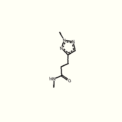 CNC(=O)CCc1cnn(C)n1